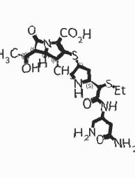 CCSC(C(=O)NC(CN)CC(N)=O)[C@@H]1C[C@H](SC2=C(C(=O)O)N3C(=O)[C@H]([C@@H](C)O)[C@H]3[C@H]2C)CN1